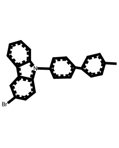 Cc1ccc(-c2ccc(-n3c4ccccc4c4cc(Br)ccc43)cc2)cc1